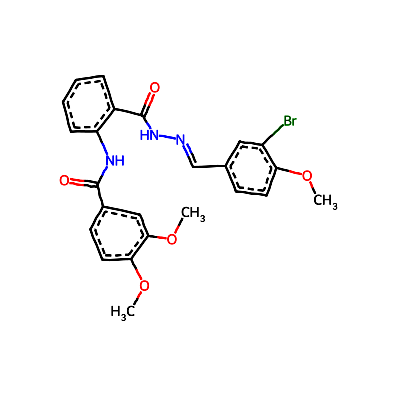 COc1ccc(C=NNC(=O)c2ccccc2NC(=O)c2ccc(OC)c(OC)c2)cc1Br